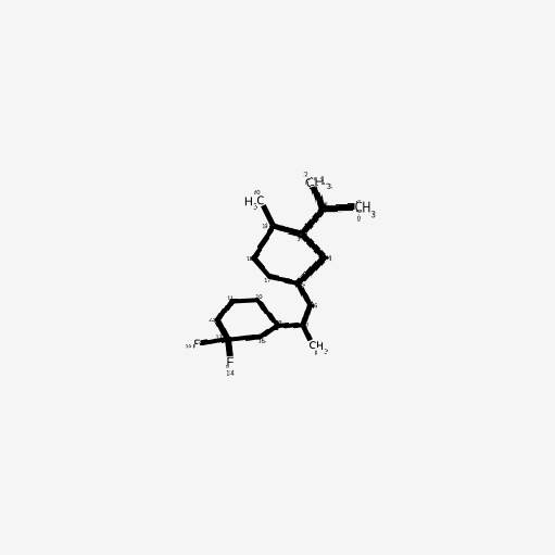 CC(C)C1CC(CC(C)C2CCCC(F)(F)C2)CCC1C